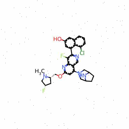 CN1C[C@@H](F)C[C@H]1COc1cc(N2CC3CCC(C2)N3)c2cnc(-c3cc(O)cc4cccc(Cl)c34)c(F)c2n1